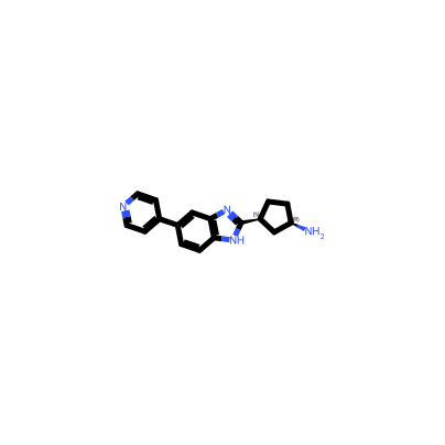 N[C@@H]1CC[C@H](c2nc3cc(-c4ccncc4)ccc3[nH]2)C1